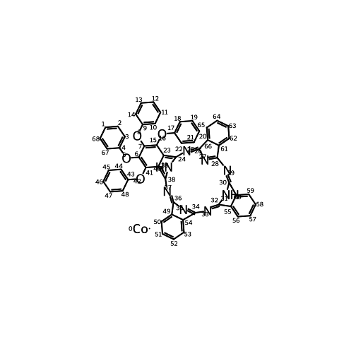 [Co].c1ccc(Oc2c(Oc3ccccc3)c(Oc3ccccc3)c3c4nc5nc(nc6[nH]c(nc7nc(nc([nH]4)c3c2Oc2ccccc2)-c2ccccc2-7)c2ccccc62)-c2ccccc2-5)cc1